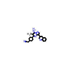 Bc1c(C2CCC(CC#N)CC2)nc2c(-c3cnc4ccccc4c3)cnn2c1N